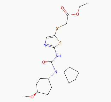 CCOC(=O)CSc1cnc(NC(=O)N(C2CCCC2)[C@H]2CC[C@H](OC)CC2)s1